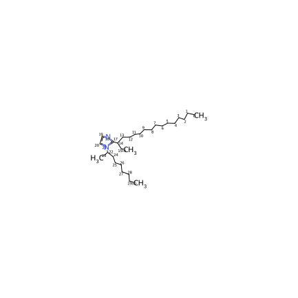 CCCCCCCCCCCCCCC(CC)c1nccn1C(C)CCCCCCC